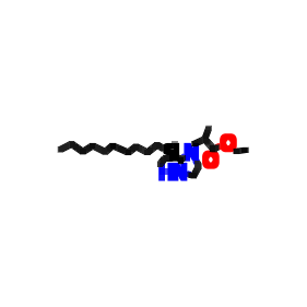 CCCCCCCCCC[Si](C)(C)C1NCCN1CC(C)C(=O)OCC